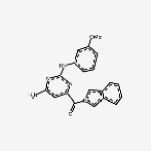 COc1cccc(Nc2nc(N)cc(C(=O)n3cc4ccccc4c3)n2)c1